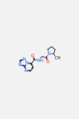 N#CC1CCCN1C(=O)CNC(=O)c1ccnc2ncnn12